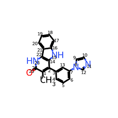 Cc1c(-c2cccc(-n3ccnc3)c2)c2[nH]c3ccccc3c2[nH]c1=O